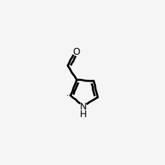 O=Cc1[c][nH]cc1